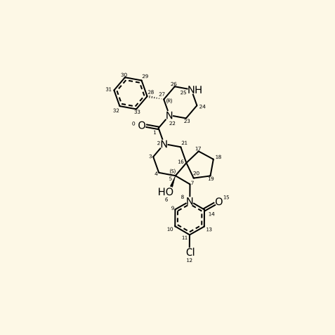 O=C(N1CC[C@@](O)(Cn2ccc(Cl)cc2=O)C2(CCCC2)C1)N1CCNC[C@H]1c1ccccc1